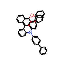 c1ccc(-c2ccc(N(c3ccc(-c4ccccc4)cc3)c3ccccc3-c3cc4c5ccccc5oc4c4ccccc34)cc2)cc1